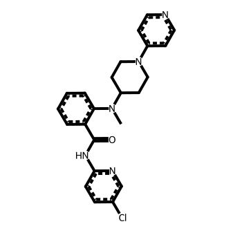 CN(c1ccccc1C(=O)Nc1ccc(Cl)cn1)C1CCN(c2ccncc2)CC1